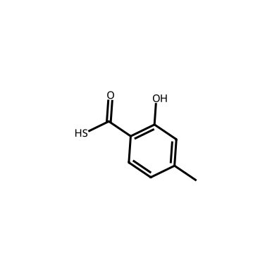 Cc1ccc(C(=O)S)c(O)c1